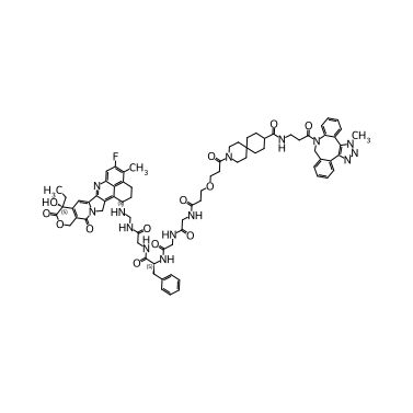 CC[C@@]1(O)C(=O)OCc2c1cc1n(c2=O)Cc2c-1nc1cc(F)c(C)c3c1c2[C@@H](NCNC(=O)CNC(=O)[C@H](Cc1ccccc1)NC(=O)CNC(=O)CNC(=O)CCOCCC(=O)N1CCC2(CCC(C(=O)NCCC(=O)N4Cc5ccccc5-c5nnn(C)c5-c5ccccc54)CC2)CC1)CC3